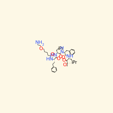 CC(C)C[C@H](NC(=O)[C@H](CCc1ccccc1)NC(=O)CCCCOCCN)C(=O)N[C@@H](Cc1ccccc1)C(=O)N[C@@H](CC(C)C)C(=O)[C@@]1(C)CO1